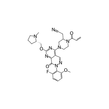 C=CC(=O)N1CCN(c2nc(OC[C@@H]3CCCN3C)nc3c(=O)n(-c4c(F)cccc4OC)ncc23)CC1CC#N